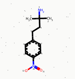 CC(C)(N)CCc1ccc([N+](=O)[O-])cc1